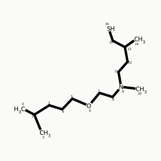 CC(C)CCCOCCN(C)CCC(C)CS